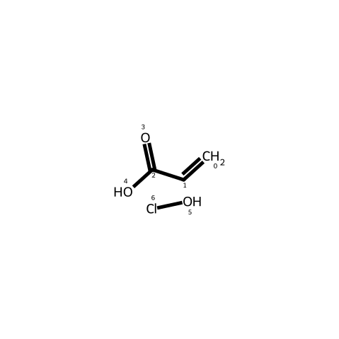 C=CC(=O)O.OCl